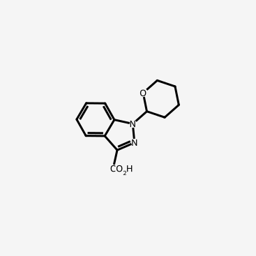 O=C(O)c1nn(C2CCCCO2)c2ccccc12